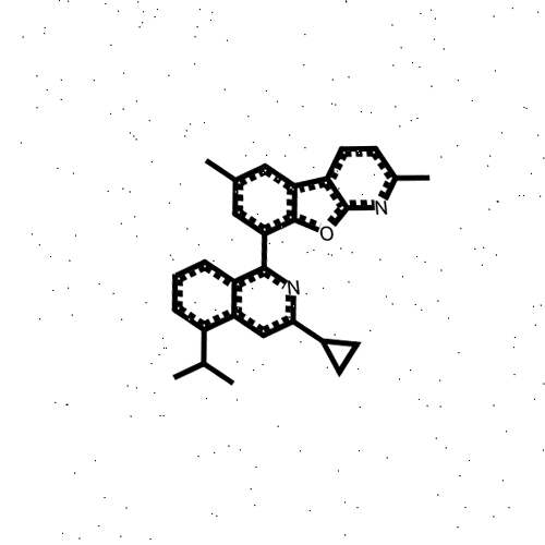 Cc1cc(-c2nc(C3CC3)cc3c(C(C)C)cccc23)c2oc3nc(C)ccc3c2c1